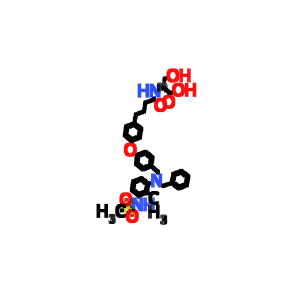 Cc1c(NS(C)(=O)=O)cccc1N(Cc1ccccc1)Cc1ccc(Oc2ccc(CCCC(=O)N[C@@H](CO)C(=O)O)cc2)cc1